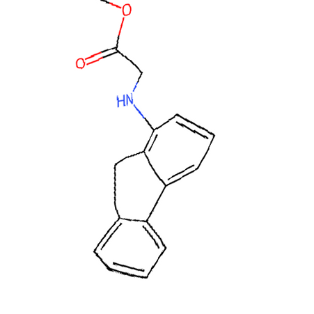 COC(=O)CNc1cccc2c1Cc1ccccc1-2